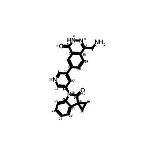 NCc1n[nH]c(=O)c2cc(-c3cncc(N4C(=O)C5(CC5)c5ccccc54)c3)ccc12